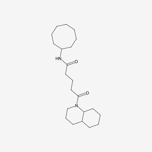 O=C(CCCC(=O)N1CCCC2CCCCC21)NC1CCCCCCC1